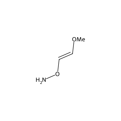 COC=CON